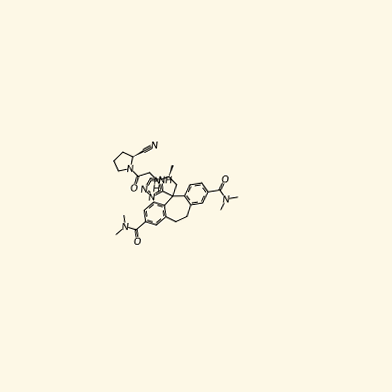 C[C@@H](CC1(c2nnc[nH]2)c2ccc(C(=O)N(C)C)cc2CCc2cc(C(=O)N(C)C)ccc21)NCC(=O)N1CCC[C@H]1C#N